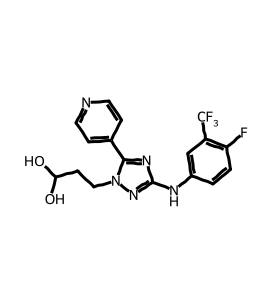 OC(O)CCn1nc(Nc2ccc(F)c(C(F)(F)F)c2)nc1-c1ccncc1